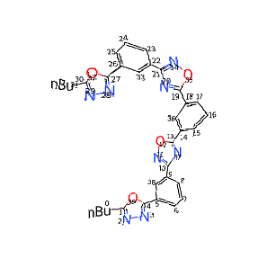 CCCCc1nnc(-c2cccc(-c3noc(-c4cccc(-c5nc(-c6cccc(-c7nnc(CCCC)o7)c6)no5)c4)n3)c2)o1